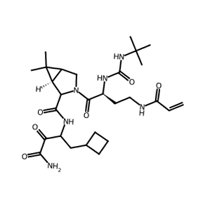 C=CC(=O)NCC[C@H](NC(=O)NC(C)(C)C)C(=O)N1CC2[C@@H](C1C(=O)NC(CC1CCC1)C(=O)C(N)=O)C2(C)C